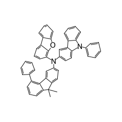 CC1(C)c2ccc(N(c3ccc4c(c3)c3ccccc3n4-c3ccccc3)c3cccc4c3oc3ccccc34)cc2-c2c(-c3ccccc3)cccc21